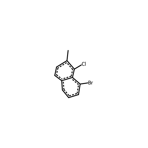 Cc1ccc2cccc(Br)c2c1Cl